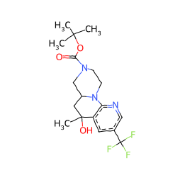 CC(C)(C)OC(=O)N1CCN2c3ncc(C(F)(F)F)cc3C(C)(O)CC2C1